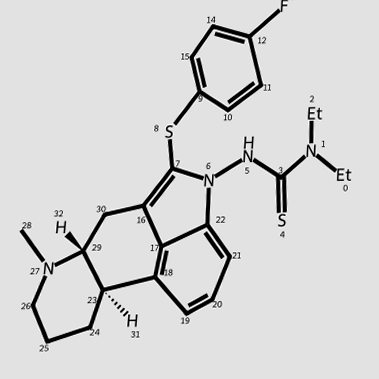 CCN(CC)C(=S)Nn1c(Sc2ccc(F)cc2)c2c3c(cccc31)[C@H]1CCCN(C)[C@@H]1C2